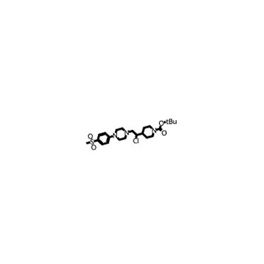 CC(C)(C)OC(=O)N1CCC(C(Cl)CN2CCN(c3ccc(S(C)(=O)=O)cc3)CC2)CC1